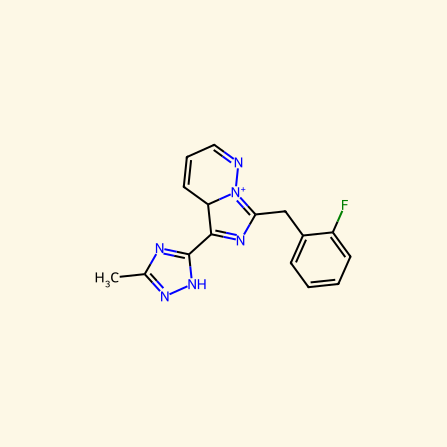 Cc1n[nH]c(C2=NC(Cc3ccccc3F)=[N+]3N=CC=CC23)n1